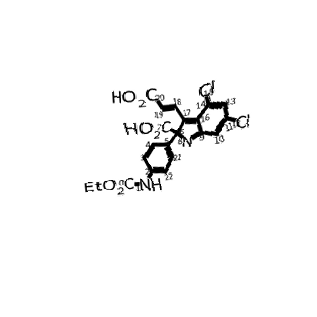 CCOC(=O)Nc1ccc(C2(C(=O)O)N=c3cc(Cl)cc(Cl)c3=C2C=CC(=O)O)cc1